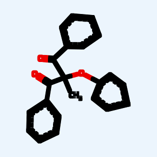 CC(Oc1ccccc1)(C(=O)c1ccccc1)C(=O)c1ccccc1